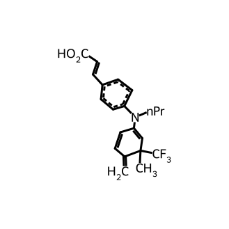 C=C1C=CC(N(CCC)c2ccc(/C=C/C(=O)O)cc2)=CC1(C)C(F)(F)F